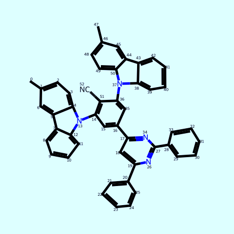 Cc1ccc2c(c1)c1ccccc1n2-c1cc(-c2cc(-c3ccccc3)nc(-c3ccccc3)n2)cc(-n2c3ccccc3c3cc(C)ccc32)c1C#N